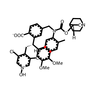 COc1ccc([C@H](Cc2c(Cl)c[n+](O)cc2Cl)c2cc(CN(C(=O)O[C@H]3CN4CCC3CC4)c3cc(O)ccc3C)ccc2C(=O)[O-])cc1OC